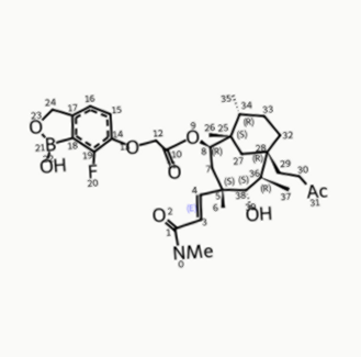 CNC(=O)/C=C/[C@]1(C)C[C@@H](OC(=O)COc2ccc3c(c2F)B(O)OC3)[C@@]2(C)C[C@](CCC(C)=O)(CC[C@H]2C)[C@@H](C)[C@@H]1O